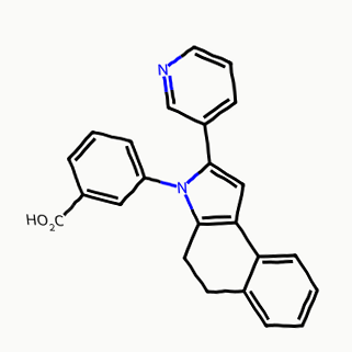 O=C(O)c1cccc(-n2c(-c3cccnc3)cc3c2CCc2ccccc2-3)c1